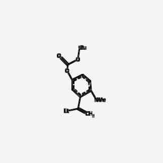 C=C(CC)c1cc(OC(=O)OC(C)(C)C)ccc1NC